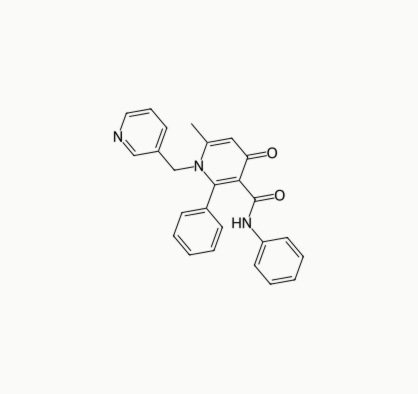 Cc1cc(=O)c(C(=O)Nc2ccccc2)c(-c2ccccc2)n1Cc1cccnc1